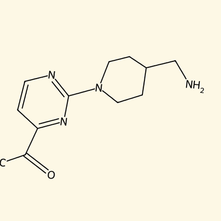 CC(=O)c1ccnc(N2CCC(CN)CC2)n1